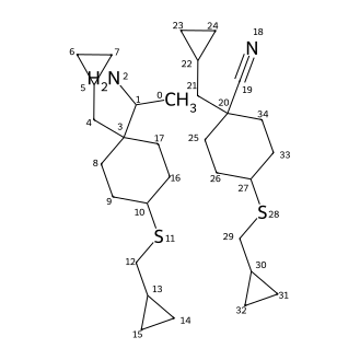 CC(N)C1(CC2CC2)CCC(SCC2CC2)CC1.N#CC1(CC2CC2)CCC(SCC2CC2)CC1